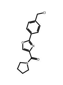 O=C(c1coc(-c2ccc(CCl)cc2)n1)N1CCCC1